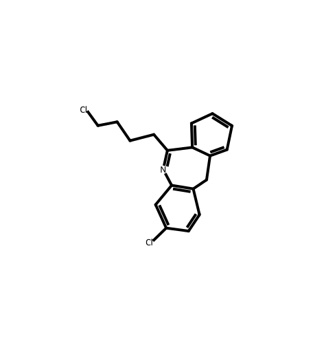 ClCCCCC1=Nc2cc(Cl)ccc2Cc2ccccc21